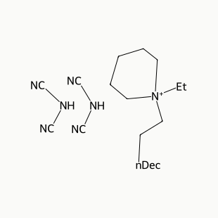 CCCCCCCCCCCC[N+]1(CC)CCCCC1.N#CNC#N.N#CNC#N